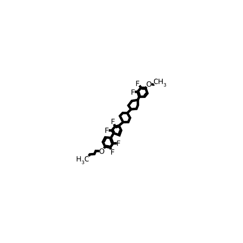 CCCCOc1ccc(-c2ccc(C3CCC(C4CCC(c5ccc(OCC)c(F)c5F)CC4)CC3)c(F)c2F)c(F)c1F